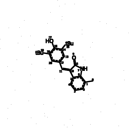 Cc1cccc2c1NC(=O)C2=Cc1cc(C(C)(C)C)c(O)c(C(C)(C)C)c1